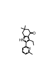 CCc1c(-c2cccc(C)n2)[nH]c2c1C(=O)CC(C)(C)C2